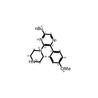 CCCCc1cnc(-c2ccc(OC)cc2)c(N2CCNCC2)n1